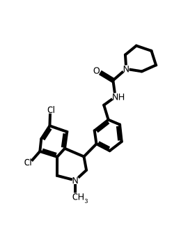 CN1Cc2c(Cl)cc(Cl)cc2C(c2cccc(CNC(=O)N3CCCCC3)c2)C1